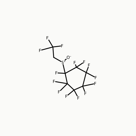 [O-][S+](CC(F)(F)F)C1(F)C(F)(F)C(F)(F)C(F)(F)C(F)(F)C1(F)F